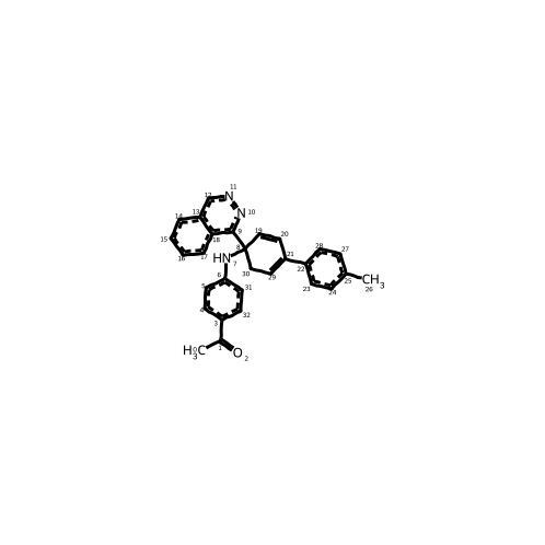 CC(=O)c1ccc(NC2(c3nncc4ccccc34)C=CC(c3ccc(C)cc3)=CC2)cc1